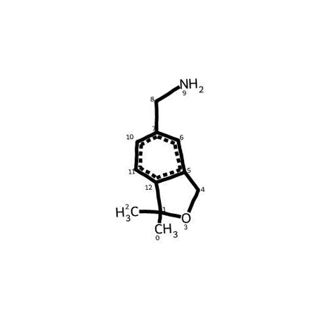 CC1(C)OCc2cc(CN)ccc21